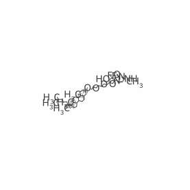 CNc1ccn(C2OC(COCCOCCO[C@@H]3CC[C@]4(C)C(=CCC5C4CC[C@]4(C)C5CC[C@H]4[C@@H](C)CCCC(C)C)C3)C(O)C2(F)F)c(=O)n1